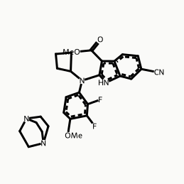 C1CN2CCN1CC2.COC(=O)c1c(N(c2ccc(OC)c(F)c2F)C2CCC2)[nH]c2cc(C#N)ccc12